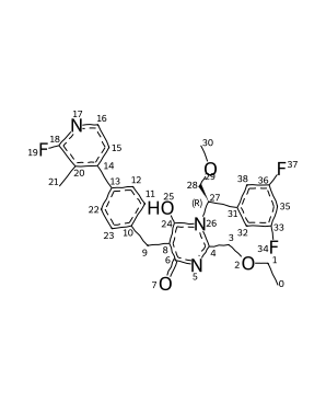 CCOCc1nc(=O)c(Cc2ccc(-c3ccnc(F)c3C)cc2)c(O)n1[C@@H](COC)c1cc(F)cc(F)c1